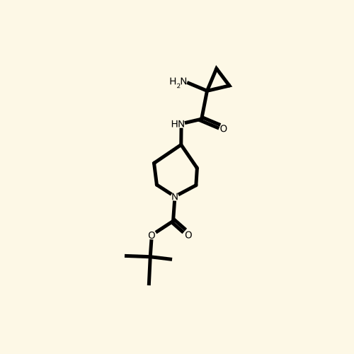 CC(C)(C)OC(=O)N1CCC(NC(=O)C2(N)CC2)CC1